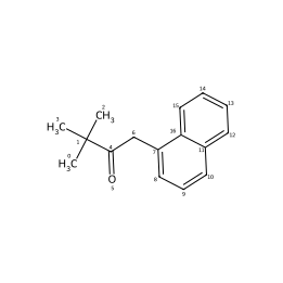 CC(C)(C)C(=O)Cc1cccc2ccccc12